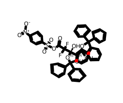 O=C(OS(=O)(=O)c1ccc([N+](=O)[O-])cc1)C(F)(F)[C@@](O)(OC(c1ccccc1)(c1ccccc1)c1ccccc1)[C@H](O)C(O)OC(c1ccccc1)(c1ccccc1)c1ccccc1